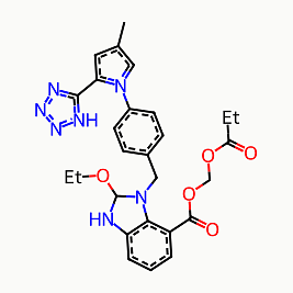 CCOC1Nc2cccc(C(=O)OCOC(=O)CC)c2N1Cc1ccc(-n2cc(C)cc2-c2nnn[nH]2)cc1